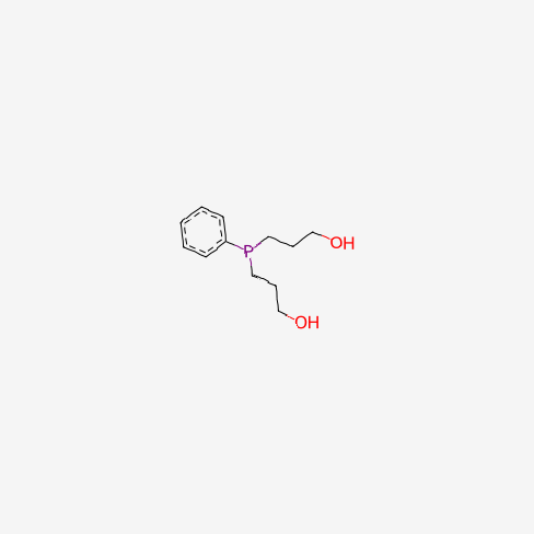 OCCCP(CCCO)c1ccccc1